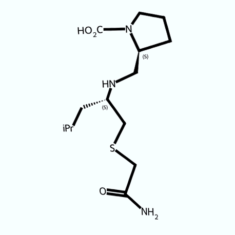 CC(C)C[C@@H](CSCC(N)=O)NC[C@@H]1CCCN1C(=O)O